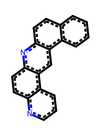 c1ccc2c(c1)ccc1nc3ccc4ncccc4c3cc12